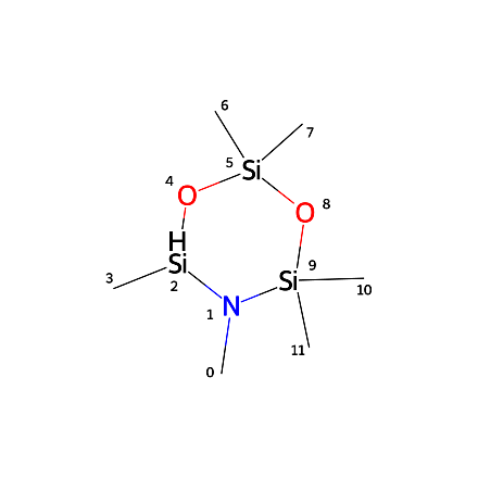 CN1[SiH](C)O[Si](C)(C)O[Si]1(C)C